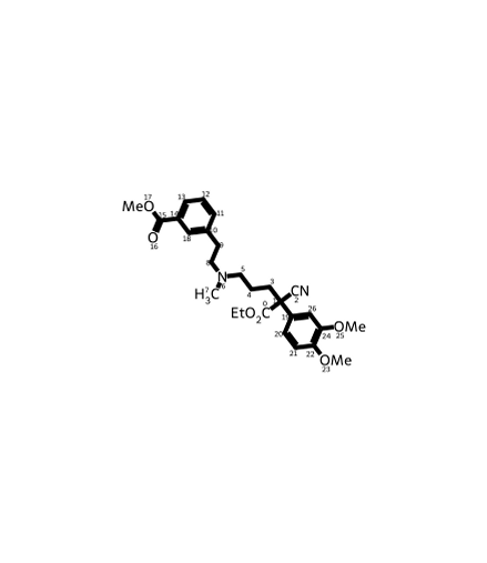 CCOC(=O)C(C#N)(CCCN(C)CCc1cccc(C(=O)OC)c1)c1ccc(OC)c(OC)c1